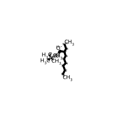 CCCCCCCC(CCC)C(=O)[O-].C[N+](C)(C)C